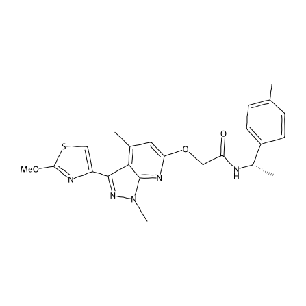 COc1nc(-c2nn(C)c3nc(OCC(=O)N[C@@H](C)c4ccc(C)cc4)cc(C)c23)cs1